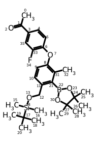 CC(=O)c1ccc(Oc2ccc(CO[Si](C)(C)C(C)(C)C)c(B3OC(C)(C)C(C)(C)O3)c2C)c(F)c1